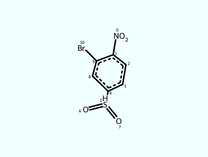 O=[N+]([O-])c1ccc([SH](=O)=O)cc1Br